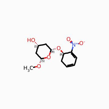 CO[C@@H]1C[C@H](O)C[C@H](O[C@@H]2CC=CC=C2[N+](=O)[O-])O1